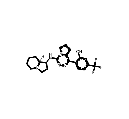 Oc1cc(C(F)(F)F)ccc1-c1nnc(N[C@H]2CCN3CCCC[C@@H]23)n2cccc12